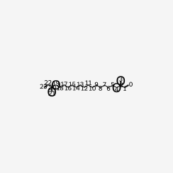 C=CC(=O)OCCCCCCCCCCCCCCOC(=O)C=C